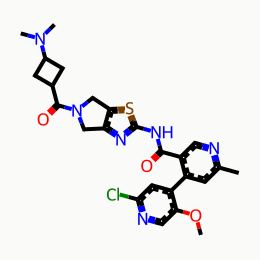 COc1cnc(Cl)cc1-c1cc(C)ncc1C(=O)Nc1nc2c(s1)CN(C(=O)C1CC(N(C)C)C1)C2